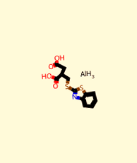 O=C(O)CC(CSc1nc2ccccc2s1)C(=O)O.[AlH3]